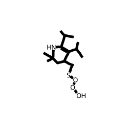 CC(C)C1=C(C(C)C)C(CSOOO)CC(C)(C)N1